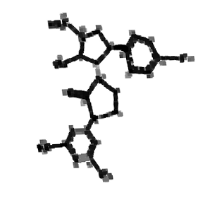 CC(C)(C)C1[C@@H](N2CCN(c3cc(C(F)(F)F)cc(C(F)(F)F)c3)C2=O)[C@H](c2ccc(F)cc2)CN1C(=O)O